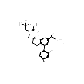 NC(=O)c1cc(-c2ccc(F)cc2F)c2c(n1)O[C@H](CN(CC(F)(F)F)C(=O)O)CC2